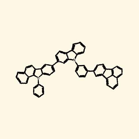 c1ccc(-n2c3ccc(-c4ccc5c6ccccc6n(-c6cccc(-c7ccc8c(c7)-c7cccc9cccc-8c79)c6)c5c4)cc3c3ccc4ccccc4c32)cc1